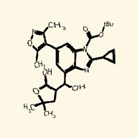 Cc1noc(C)c1-c1cc(C(O)C2CC(C)(C)OC2O)c2nc(C3CC3)n(C(=O)OC(C)(C)C)c2c1